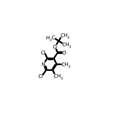 Cc1c(Cl)nc(Cl)c(C(=O)OC(C)(C)C)c1C